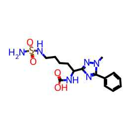 Cn1nc(C(CCCCNS(N)(=O)=O)NC(=O)O)nc1-c1ccccc1